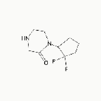 O=C1CNCCN1C1CCCC1(F)F